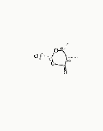 C[C@@H]1C(=O)O[C@H](C(Cl)(Cl)Cl)O[C@@H]1C